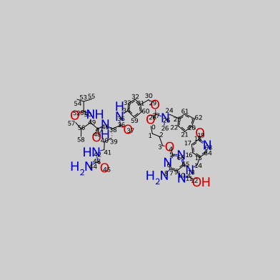 CCCCOc1nc(N)c2nc(O)n(Cc3ccc(Oc4ccc(CN(C)C(=O)OCc5ccc(NC(=O)[C@H](CCCNC(N)=O)NC(=O)C(NC(=O)C(C)C)C(C)C)cc5)cc4)nc3)c2n1